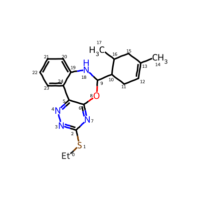 CCSc1nnc2c(n1)OC(C1CC=C(C)CC1C)Nc1ccccc1-2